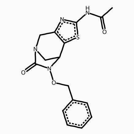 CC(=O)Nc1nc2c(s1)C1CN(C2)C(=O)N1OCc1ccccc1